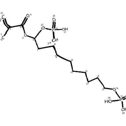 C=C(C)C(=O)OC(CCCCCCCCCOP(=O)(O)O)OP(=O)(O)O